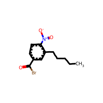 CCCCCc1cc(C(=O)Br)ccc1[N+](=O)[O-]